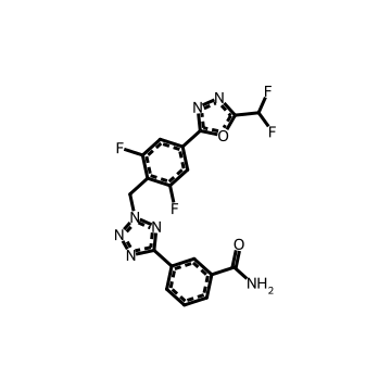 NC(=O)c1cccc(-c2nnn(Cc3c(F)cc(-c4nnc(C(F)F)o4)cc3F)n2)c1